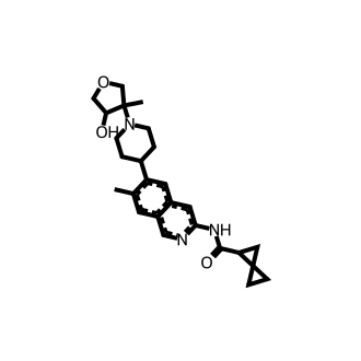 Cc1cc2cnc(NC(=O)C3CC34CC4)cc2cc1C1CCN(C2(C)COCC2O)CC1